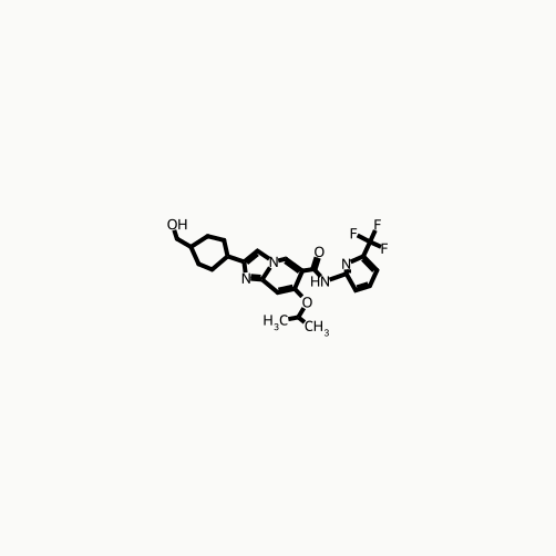 CC(C)Oc1cc2nc(C3CCC(CO)CC3)cn2cc1C(=O)Nc1cccc(C(F)(F)F)n1